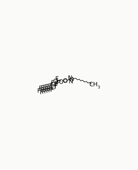 CCCCCCCCCCc1cnc(-c2ccc(OCC(F)(F)OC(F)(F)C(F)(F)OC(F)(F)C(F)(F)C(F)(F)C(F)(F)C(F)(F)C(F)(F)F)cc2)nc1